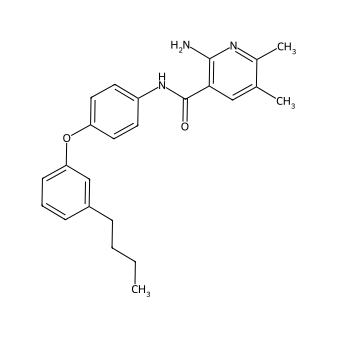 CCCCc1cccc(Oc2ccc(NC(=O)c3cc(C)c(C)nc3N)cc2)c1